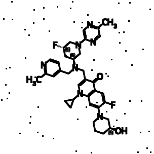 Cc1cnc(N2C[C@@H](F)C[C@H](N(Cc3ccnc(C)c3)Cc3cn(C4CC4)c4cc(N5CCC[C@H](O)C5)c(F)cc4c3=O)C2)cn1